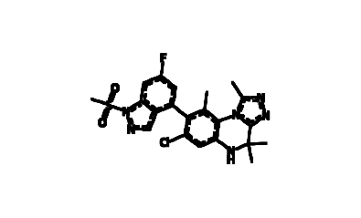 Cc1c(-c2cc(F)cc3c2cnn3S(C)(=O)=O)c(Cl)cc2c1-n1c(C)nnc1C(C)(C)N2